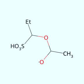 CCC(OC(C)[O])S(=O)(=O)O